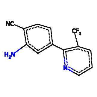 N#Cc1ccc(-c2ncccc2C(F)(F)F)cc1N